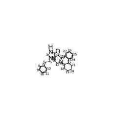 O=C1NCN(CCc2ccccc2)C12CCN(C1CCCCC1c1ccccc1)CC2